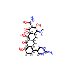 CN(C)C1C(O)=C(C(N)=O)C(=O)C2(O)C(O)=C3C(=O)c4c(O)ccc(-c5cnc(N)nc5)c4CC3CC12